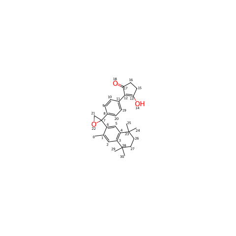 Cc1cc2c(cc1C1(c3ccc(C4=C(O)CCC4=O)cc3)CO1)C(C)(C)CCC2(C)C